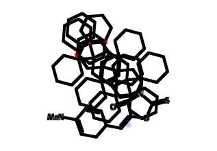 CNC1=CCC(/C=C2/OC(=S)N(C3(C4(C5(C6(C7(C8(C9(C%10(C%11(C%12(C%13(C%14(C%15(C%16(C%17CCCCC%17)CCCCC%16)CCCCC%15)CCCCC%14)CCCCC%13)CCCCC%12)CCCCC%11)CCCCC%10)CCCCC9)CCCCC8)CCCCC7)CCCCC6)CCCCC5)CCCCC4)CCCCC3)C2=O)C=C1